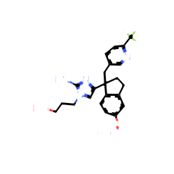 COc1ccc2c(c1)CCC2(Cc1ccc(C(F)(F)F)nc1)c1cn(CCCO)c(N)n1